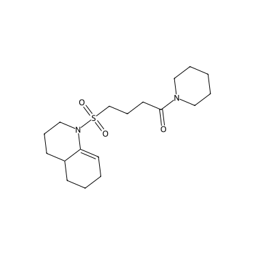 O=C(CCCS(=O)(=O)N1CCCC2CCCC=C21)N1CCCCC1